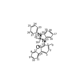 Cc1ccc2c(oc3ccccc32)c1N1c2ccccc2N(c2ccccc2)C1(C)C